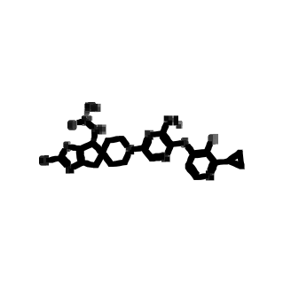 CC(C)(C)[S@@+]([O-])N[C@@H]1c2sc(Cl)nc2CC12CCN(c1cnc(Sc3ccnc(C4CC4)c3Cl)c(N)n1)CC2